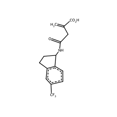 C=C(CC(=O)NC1CCc2cc(C(F)(F)F)ccc21)C(=O)O